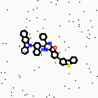 C1=Cc2c(c3cc4ccccc4cc3n2-c2ccc(C3Nc4c(oc5cc(-c6ccc7sc8ccccc8c7c6)ccc45)N=C3c3ccccc3)c3ccccc23)CC1